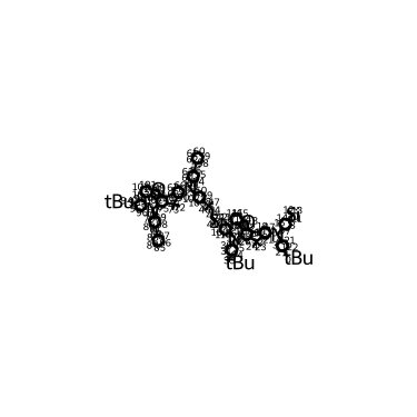 CC(C)(C)c1ccc(N(c2ccc([Si](C)(C)C)cc2)c2ccc3c(c2)C(C)(C)c2cc(N(c4ccc(C(C)(C)C)cc4)c4ccc([Si](C)(C)CCC(C)(C)c5ccc(N(c6ccc(-c7ccccc7)cc6)c6ccc7c(c6)C(C)(C)c6cc(N(c8ccc(-c9ccccc9)cc8)c8ccc(C(C)(C)C)cc8)c8c(oc9ccccc98)c6-7)cc5)cc4)c4c(oc5ccccc54)c2-3)cc1